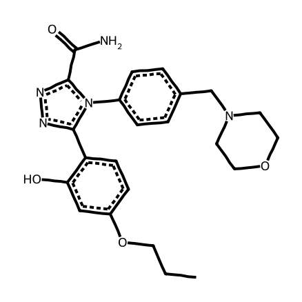 CCCOc1ccc(-c2nnc(C(N)=O)n2-c2ccc(CN3CCOCC3)cc2)c(O)c1